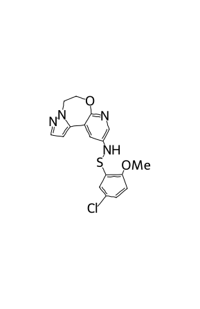 COc1ccc(Cl)cc1SNc1cnc2c(c1)-c1ccnn1CCO2